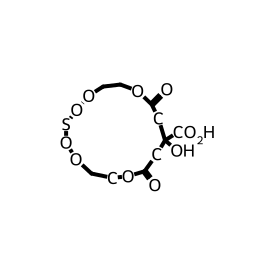 O=C1CC(O)(C(=O)O)CC(=O)OCCOOSOOCCO1